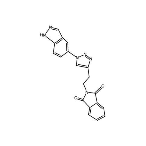 O=C1c2ccccc2C(=O)N1CCc1cn(-c2ccc3[nH]ncc3c2)nn1